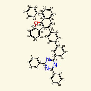 c1ccc(-c2nc(-c3ccccc3)nc(-c3cccc(-c4ccc(-c5cc6cccc(-c7ccccc7)c6c6oc7ccccc7c56)cc4)c3)n2)cc1